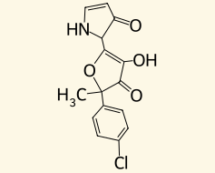 CC1(c2ccc(Cl)cc2)OC(C2NC=CC2=O)=C(O)C1=O